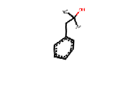 CC(=O)C(O)(C#N)Cc1ccccc1